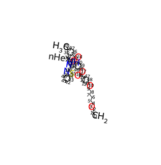 C=CCOCCCCCCOc1ccc(C(=O)Oc2ccc(OC(=O)C3CCC(C)CC3)c(C(=NNCCCCCC)c3nc4ccccc4s3)c2)cc1